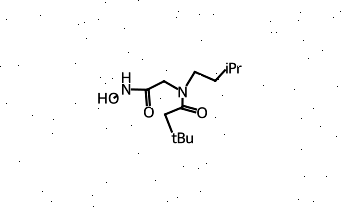 CC(C)CCN(CC(=O)NO)C(=O)CC(C)(C)C